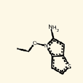 CCOn1c(N)cc2sccc21